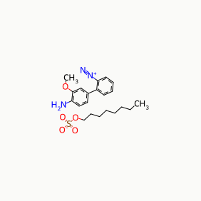 CCCCCCCCOS(=O)(=O)[O-].COc1cc(-c2ccccc2[N+]#N)ccc1N